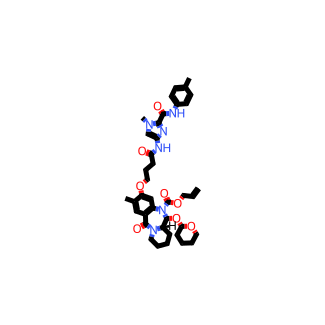 C=CCOC(=O)N1c2cc(OCCCC(=O)Nc3cn(C)c(C(=O)Nc4ccc(C)cc4)n3)c(C)cc2C(=O)N2CCCC[C@H]2C1OC1CCCCO1